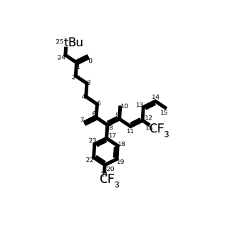 C=C(CCCCC(=C)/C(=C(C)/C=C(\C=C/C)C(F)(F)F)c1ccc(C(F)(F)F)cc1)CC(C)(C)C